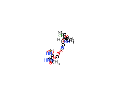 CCS(=O)(=O)Nc1ccc(Oc2cccc(OCCOC3CCN(c4ccc(C(=O)NC5C(C)(C)C(Oc6ccc(C#N)c(Cl)c6)C5(C)C)cc4)CC3)c2)c(-c2cn(C)c(=O)c3[nH]ccc23)c1